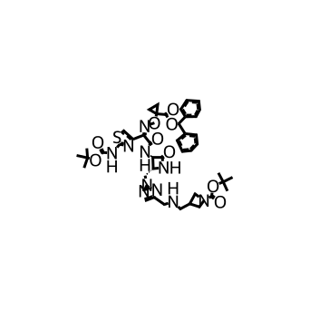 CC(C)(C)OC(=O)Nc1nc(/C(=N/OC2(C(=O)OC(c3ccccc3)c3ccccc3)CC2)C(=O)N[C@@H]2C(=O)N[C@@H]2Cn2ncc(CNCC3CN(C(=O)OC(C)(C)C)C3)n2)cs1